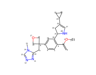 C=C(OCC)c1ccc(C2(Cc3nncn3C)COC2)cc1C1CC(C2CC2)=CN1